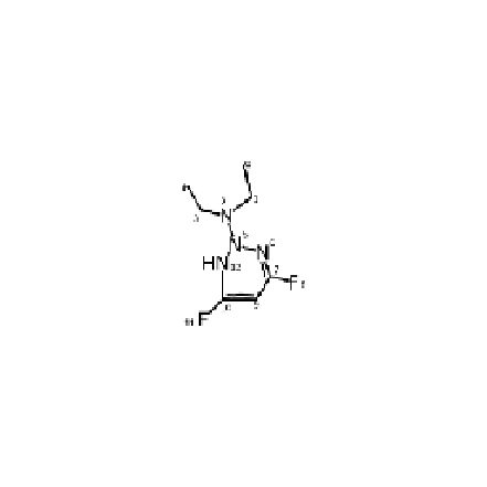 CCN(CC)N1N=C(F)C=C(F)N1